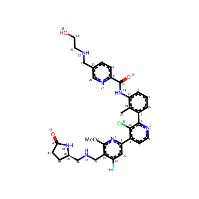 COc1nc(-c2ccnc(-c3cccc(NC(=O)c4ccc(CNCCO)cn4)c3C)c2Cl)cc(F)c1CNC[C@H]1CCC(=O)N1